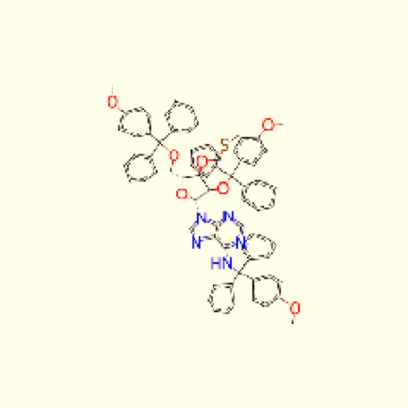 COc1ccc(C(Nc2ncnc3c2ncn3[C@@H]2O[C@H](COC(c3ccccc3)(c3ccccc3)c3ccc(OC)cc3)[C@@H](OCSC)[C@H]2OC(c2ccccc2)(c2ccccc2)c2ccc(OC)cc2)(c2ccccc2)c2ccccc2)cc1